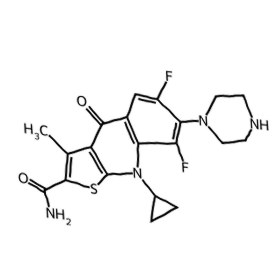 Cc1c(C(N)=O)sc2c1c(=O)c1cc(F)c(N3CCNCC3)c(F)c1n2C1CC1